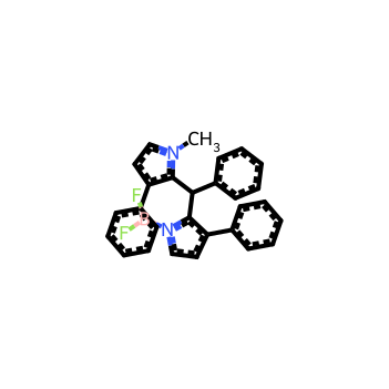 Cn1ccc(-c2ccccc2)c1C(c1ccccc1)c1c(-c2ccccc2)ccn1B(F)F